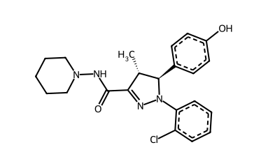 C[C@H]1C(C(=O)NN2CCCCC2)=NN(c2ccccc2Cl)[C@@H]1c1ccc(O)cc1